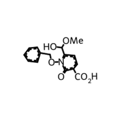 COC(O)c1ccc(C(=O)O)c(=O)n1OCc1ccccc1